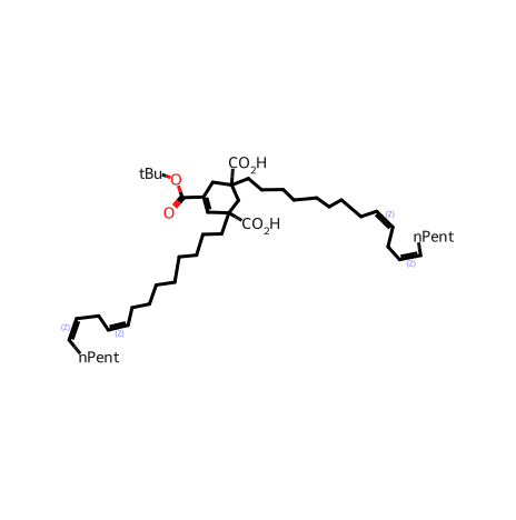 CCCCC/C=C\C/C=C\CCCCCCCCC1(C(=O)O)C=C(C(=O)OC(C)(C)C)CC(CCCCCCCC/C=C\C/C=C\CCCCC)(C(=O)O)C1